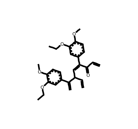 C=CC(=O)C(=CC(C=C)C(=C)c1ccc(OC)c(OCC)c1)c1ccc(OC)c(OCC)c1